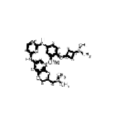 COc1cc(Nc2nccc(Nc3cnc4c(c3)OCC(CN(C)C)O4)n2)ccc1OC1CC(N(C)C)C1